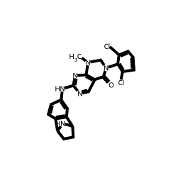 CN1CN(c2c(Cl)cccc2Cl)C(=O)c2cnc(Nc3ccc4c(c3)C3CCC4N3)nc21